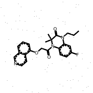 CCCN1C(=O)C(C)(C)N(C(=O)COc2cccc3cnccc23)c2ccc(F)cc21